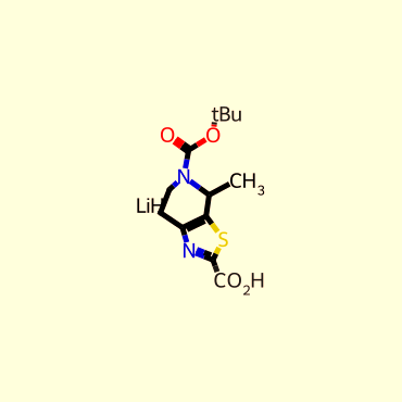 CC1c2sc(C(=O)O)nc2CCN1C(=O)OC(C)(C)C.[LiH]